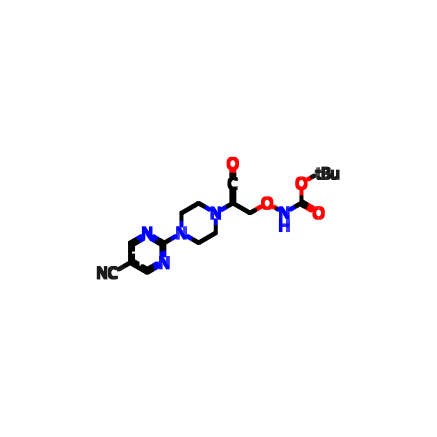 CC(C)(C)OC(=O)NOCC(=C=O)N1CCN(c2ncc(C#N)cn2)CC1